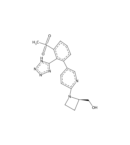 CS(=O)(=O)c1cccc(-c2ccc(N3CC[C@@H]3CO)nc2)c1-c1nnn[nH]1